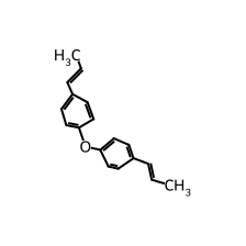 CC=Cc1ccc(Oc2ccc(C=CC)cc2)cc1